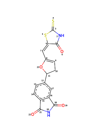 O=C1NC(=S)S/C1=C/C1=CCC(c2ccc3c(c2)C(=O)NC3=O)O1